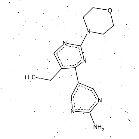 CCc1cnc(N2CCOCC2)nc1-c1cnc(N)nc1